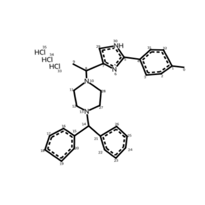 Cc1ccc(-c2nc(C(C)N3CCN(C(c4ccccc4)c4ccccc4)CC3)c[nH]2)cc1.Cl.Cl.Cl